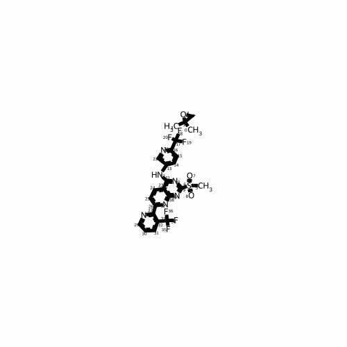 CC1(C)CO1.CS(=O)(=O)c1nc(Nc2ccc(C(F)(F)F)nc2)c2ccc(-c3ncccc3C(F)(F)F)nc2n1